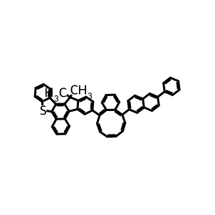 CC1(C)c2ccc(-c3ccccccc(-c4ccc5cc(-c6ccccc6)ccc5c4)c4ccccc34)cc2-c2c1c1c3ccccc3sc1c1ccccc21